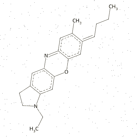 CCC/C=c1/cc2c(cc1C)=Nc1cc3c(cc1O2)N(CC)CC3